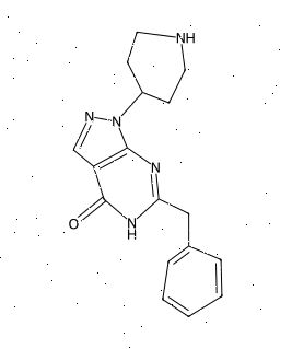 O=c1[nH]c(Cc2ccccc2)nc2c1cnn2C1CCNCC1